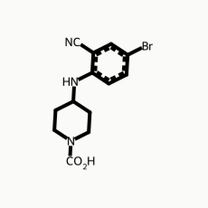 N#Cc1cc(Br)ccc1NC1CCN(C(=O)O)CC1